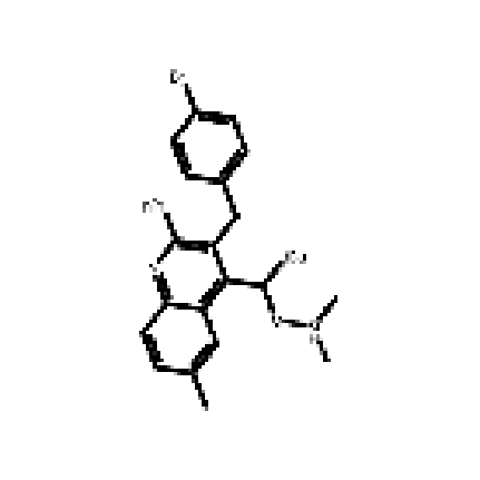 CCCc1nc2ccc(C)cc2c(C(O[SiH](C)C)C(C)(C)C)c1Cc1ccc(Br)cc1